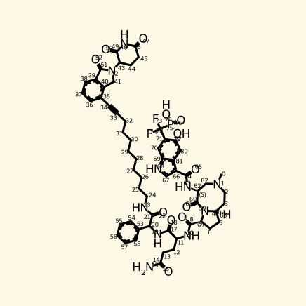 CN1CC[C@H]2CC[C@@H](C(=O)NC(CCC(N)=O)C(=O)NC(C(=O)NCCCCCCCCCC#Cc3cccc4c3CN(C3CCC(=O)NC3=O)C4=O)c3ccccc3)N2C(=O)[C@@H](NC(=O)c2c[nH]c3cc(C(F)(F)P(=O)(O)O)ccc23)C1